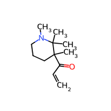 C=CC(=O)C1(C)CCCN(C)C1(C)C